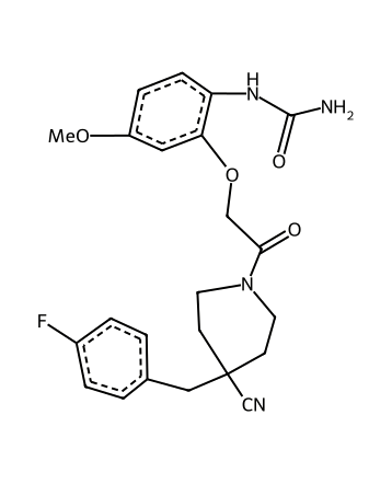 COc1ccc(NC(N)=O)c(OCC(=O)N2CCC(C#N)(Cc3ccc(F)cc3)CC2)c1